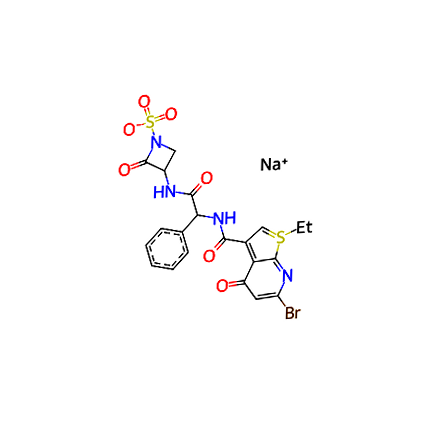 CCS1=CC(C(=O)NC(C(=O)NC2CN(S(=O)(=O)[O-])C2=O)c2ccccc2)=C2C(=O)C=C(Br)N=C21.[Na+]